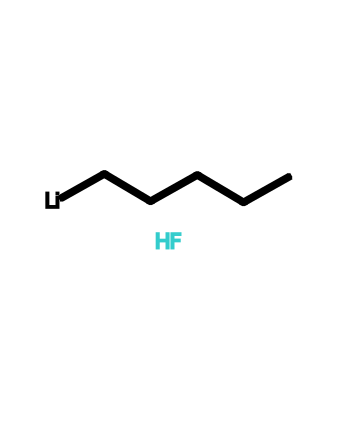 F.[Li][CH2]CCCC